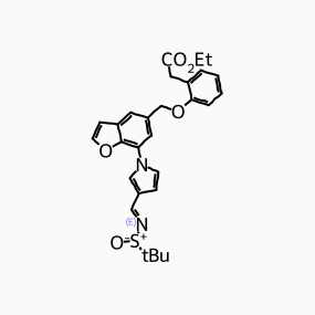 CCOC(=O)Cc1ccccc1OCc1cc(-n2ccc(/C=N/[S+]([O-])C(C)(C)C)c2)c2occc2c1